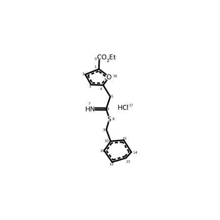 CCOC(=O)c1ccc(CC(=N)SCc2ccccc2)o1.Cl